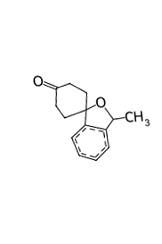 CC1OC2(CCC(=O)CC2)c2ccccc21